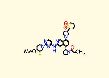 C=CC(=O)N1CCC[C@H]1c1ccc(N2CC[C@@H]([C@H]3CCCCS3(=O)=O)C2)c2cnc(Nc3ccnc(N4CC[C@@H](OC)[C@@H](F)C4)n3)cc12